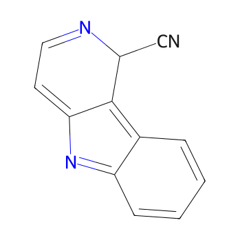 N#CC1N=CC=C2N=c3ccccc3=C21